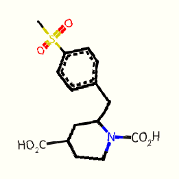 CS(=O)(=O)c1ccc(CC2CC(C(=O)O)CCN2C(=O)O)cc1